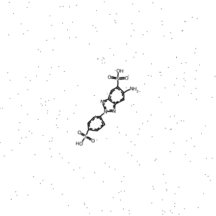 Nc1cc2nn(-c3ccc(S(=O)(=O)O)cc3)nc2cc1S(=O)(=O)O